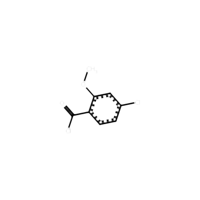 COc1cc(Cl)ccc1C(=O)Cl